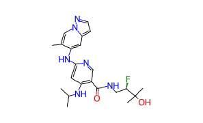 Cc1cn2nccc2cc1Nc1cc(NC(C)C)c(C(=O)NC[C@@H](F)C(C)(C)O)cn1